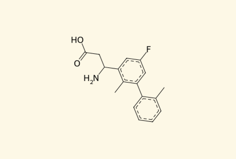 Cc1ccccc1-c1cc(F)cc(C(N)CC(=O)O)c1C